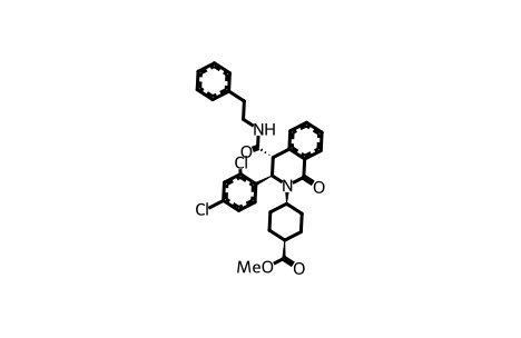 COC(=O)[C@H]1CC[C@@H](N2C(=O)c3ccccc3[C@@H](C(=O)NCCc3ccccc3)[C@@H]2c2ccc(Cl)cc2Cl)CC1